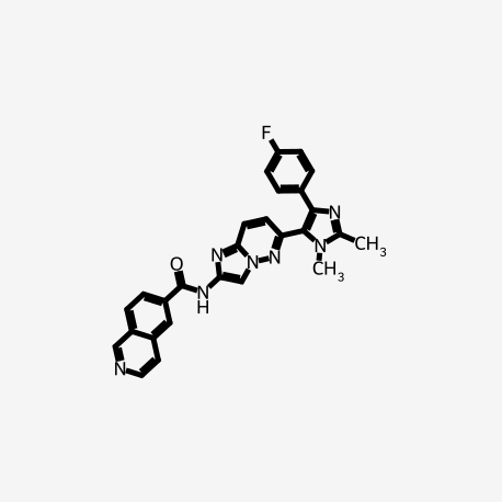 Cc1nc(-c2ccc(F)cc2)c(-c2ccc3nc(NC(=O)c4ccc5cnccc5c4)cn3n2)n1C